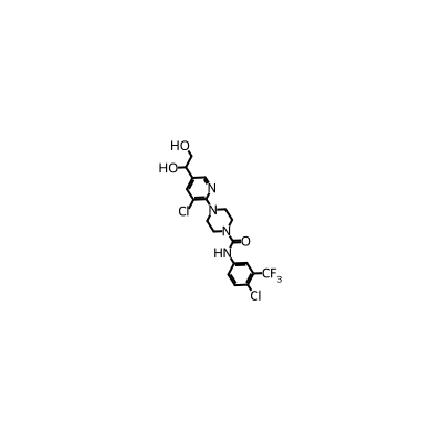 O=C(Nc1ccc(Cl)c(C(F)(F)F)c1)N1CCN(c2ncc(C(O)CO)cc2Cl)CC1